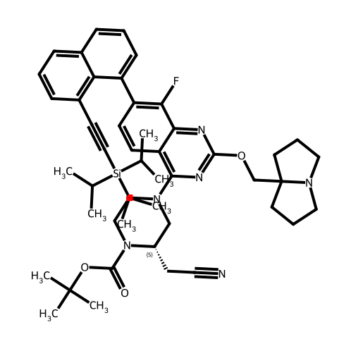 CC(C)[Si](C#Cc1cccc2cccc(-c3ccc4c(N5CCN(C(=O)OC(C)(C)C)[C@@H](CC#N)C5)nc(OCC56CCCN5CCC6)nc4c3F)c12)(C(C)C)C(C)C